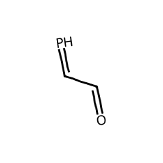 O=CC=P